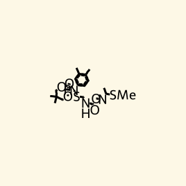 CSC(C)=NOC(=O)NCSN(c1ccc(C)c(C)c1)P1(=O)OCC(C)(C)CO1